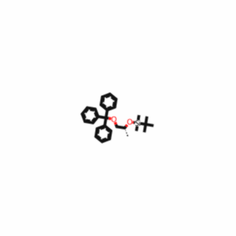 C[C@H](COC(c1ccccc1)(c1ccccc1)c1ccccc1)O[Si](C)(C)C(C)(C)C